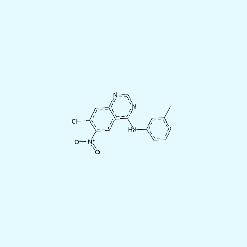 Cc1cccc(Nc2ncnc3cc(Cl)c([N+](=O)[O-])cc23)c1